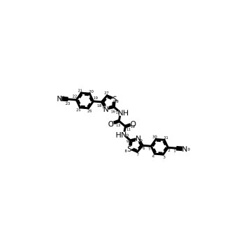 N#Cc1ccc(-c2csc(NC(=O)C(=O)Nc3nc(-c4ccc(C#N)cc4)cs3)n2)cc1